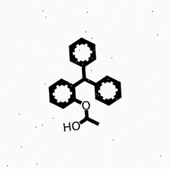 CC(O)Oc1ccccc1C(c1ccccc1)c1ccccc1